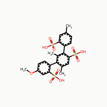 COc1ccc(-c2c(C)[c]c(S(=O)(=O)O)c(-c3ccc(C)cc3S(=O)(=O)O)c2C)c(S(=O)(=O)O)c1